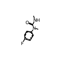 CNC(=O)N(C)c1ccc(F)cc1